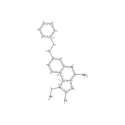 CCc1nc2c(N)nc3cc(OCc4ccccc4)ccc3c2n1CC(C)C